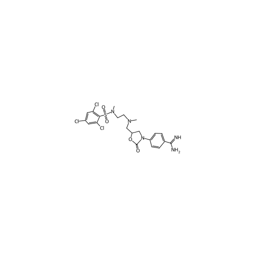 CN(CCN(C)S(=O)(=O)c1c(Cl)cc(Cl)cc1Cl)CC1CN(c2ccc(C(=N)N)cc2)C(=O)O1